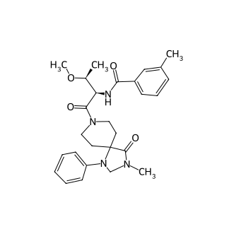 CO[C@@H](C)[C@@H](NC(=O)c1cccc(C)c1)C(=O)N1CCC2(CC1)C(=O)N(C)CN2c1ccccc1